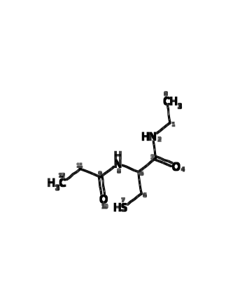 CCNC(=O)C(CS)NC(=O)CC